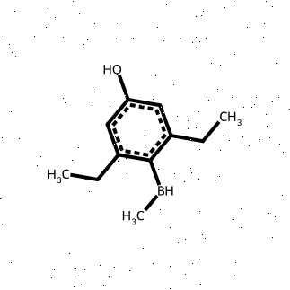 CBc1c(CC)cc(O)cc1CC